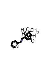 CC1(C)[C@@H]2C[C@H]1C(/C=C/c1ccccn1)=CC2=O